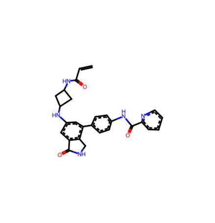 C=CC(=O)NC1CC(Nc2cc3c(c(-c4ccc(NC(=O)c5ccccn5)cc4)c2)CNC3=O)C1